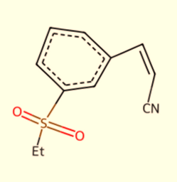 CCS(=O)(=O)c1cccc(/C=C\C#N)c1